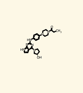 CCC(=O)N1CCN(c2ccc(Nc3nc(N4CC[C@H](O)C4)c4cc[nH]c4n3)cc2)CC1